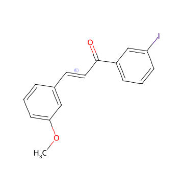 COc1cccc(/C=C/C(=O)c2cccc(I)c2)c1